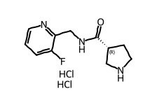 Cl.Cl.O=C(NCc1ncccc1F)[C@@H]1CCNC1